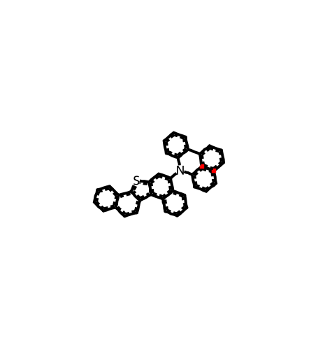 c1ccc(-c2ccccc2N(c2ccccc2)c2cc3sc4c5ccccc5ccc4c3c3ccccc23)cc1